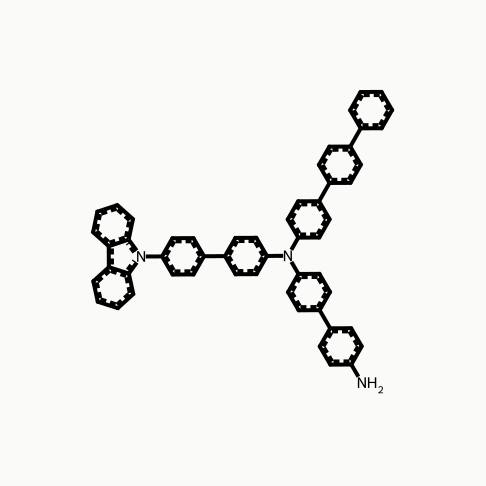 Nc1ccc(-c2ccc(N(c3ccc(-c4ccc(-c5ccccc5)cc4)cc3)c3ccc(-c4ccc(-n5c6ccccc6c6ccccc65)cc4)cc3)cc2)cc1